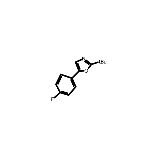 CC(C)(C)c1ncc(-c2ccc(F)cc2)o1